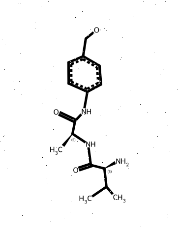 CC(C)[C@H](N)C(=O)N[C@@H](C)C(=O)Nc1ccc(C[O])cc1